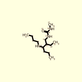 CCCCNC(CCC)C(CC)CNC(=O)NC